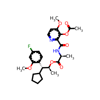 COc1cc(F)ccc1[C@@H](C1CCCC1)[C@H](C)OC(=O)[C@H](C)NC(=O)c1nccc(OC)c1OC(C)=O